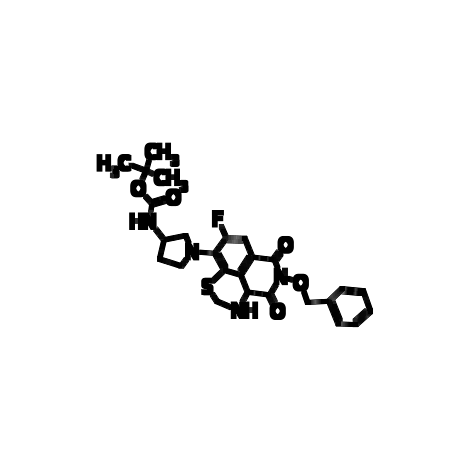 CC(C)(C)OC(=O)NC1CCN(c2c(F)cc3c4c2SCNC4C(=O)N(OCc2ccccc2)C3=O)C1